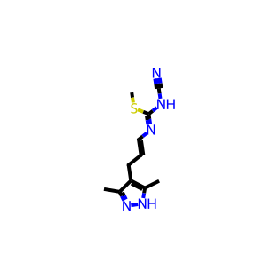 CSC(=NC=CCc1c(C)n[nH]c1C)NC#N